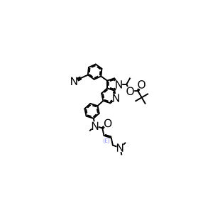 CC(OC(=O)C(C)(C)C)n1cc(-c2cccc(C#N)c2)c2cc(-c3cccc(N(C)C(=O)/C=C/CN(C)C)c3)cnc21